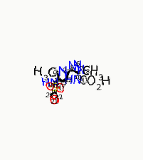 Cc1nc(-c2nnn(C)c2NC(=O)O)ccc1NS(=O)(=O)C1COC1